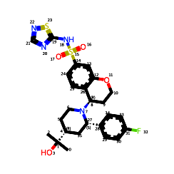 CC(C)(O)[C@@H]1CCN([C@@H]2CCOc3cc(S(=O)(=O)Nc4ncns4)ccc32)[C@H](c2ccc(F)cc2)C1